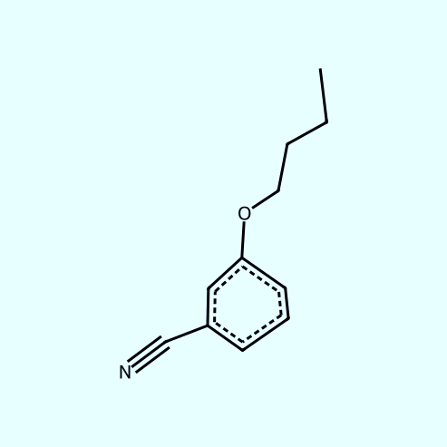 CCCCOc1cccc(C#N)c1